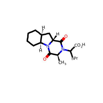 CCCC(C(=O)O)N1C(=O)[C@H]2C[C@@H]3CCCC[C@@H]3N2C(=O)[C@@H]1C